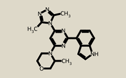 Cc1nnc(C)n1-c1cc(N2CCOCC2C)nc(-c2cccc3[nH]ccc23)n1